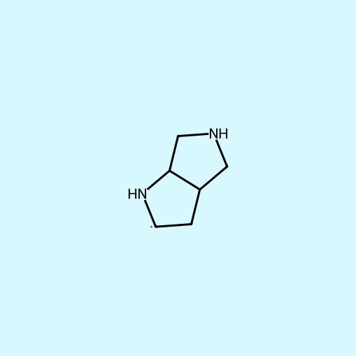 [CH]1CC2CNCC2N1